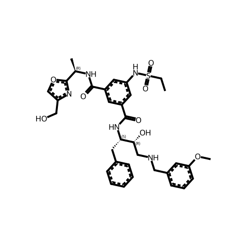 CCS(=O)(=O)Nc1cc(C(=O)N[C@@H](Cc2ccccc2)[C@H](O)CNCc2cccc(OC)c2)cc(C(=O)N[C@H](C)c2nc(CO)co2)c1